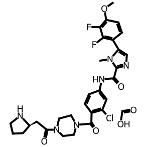 COc1ccc(-c2cnc(C(=O)Nc3ccc(C(=O)N4CCN(C(=O)C[C@H]5CCCN5)CC4)c(Cl)c3)n2C)c(F)c1F.O=CO